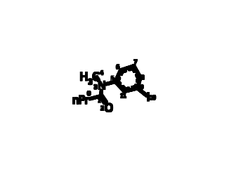 CCCC(=O)N(C)c1cccc(I)c1